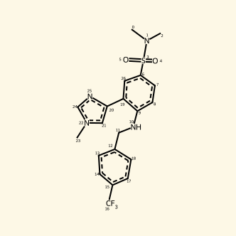 CN(C)S(=O)(=O)c1ccc(NCc2ccc(C(F)(F)F)cc2)c(-c2cn(C)cn2)c1